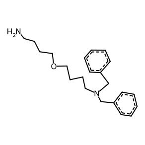 NCCCCOCCCCN(Cc1ccccc1)Cc1ccccc1